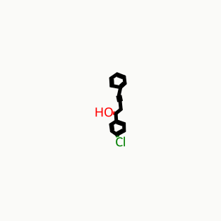 OC(CC#Cc1ccccc1)c1ccc(Cl)cc1